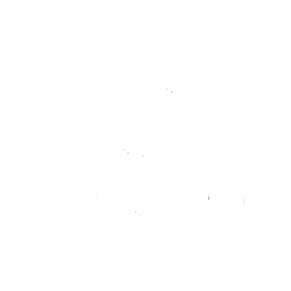 C[C@@H]1C[C@H](N)CN(c2ccncc2NC(=O)c2ccc(F)c(-c3c(F)cc(N4CCC(=O)CC4)cc3F)c2F)C1.Cl.Cl